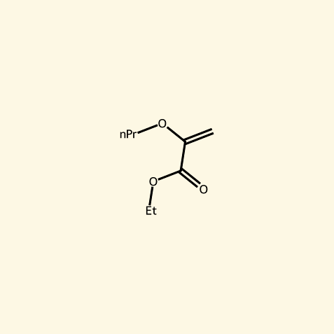 C=C(OCCC)C(=O)OCC